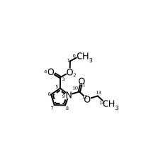 CCOC(=O)c1cccn1C(=O)OCC